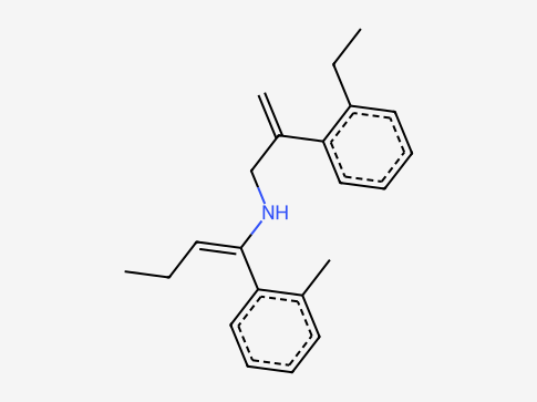 C=C(CN/C(=C/CC)c1ccccc1C)c1ccccc1CC